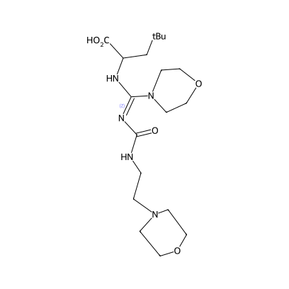 CC(C)(C)CC(N/C(=N/C(=O)NCCN1CCOCC1)N1CCOCC1)C(=O)O